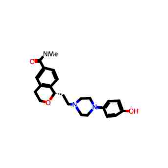 CNC(=O)c1ccc2c(c1)CCO[C@H]2CCN1CCN(c2ccc(O)cc2)CC1